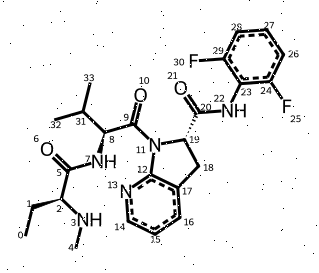 CC[C@H](NC)C(=O)N[C@H](C(=O)N1c2ncccc2C[C@H]1C(=O)Nc1c(F)cccc1F)C(C)C